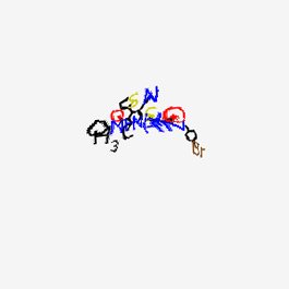 CC1=C(C(=O)Nc2ccccc2)C(c2cccs2)C(C#N)=C(SCC(=O)NCc2ccc(Br)cc2)N1